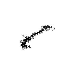 CCc1c2c(nc3ccc(OC(=O)CCCCCCCCCCN4C(=O)CC(SC(P)P)C4=O)cc13)-c1cc3c(c(=O)n1C2)COC(=O)[C@]3(O)CC